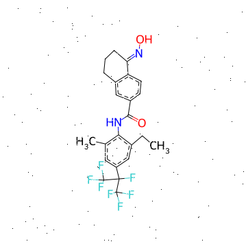 CCc1cc(C(F)(C(F)(F)F)C(F)(F)F)cc(C)c1NC(=O)c1ccc2c(c1)CCCC2=NO